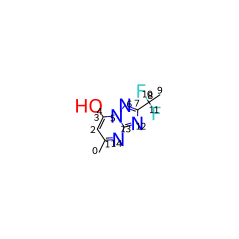 Cc1cc(O)n2nc(C(C)(F)F)nc2n1